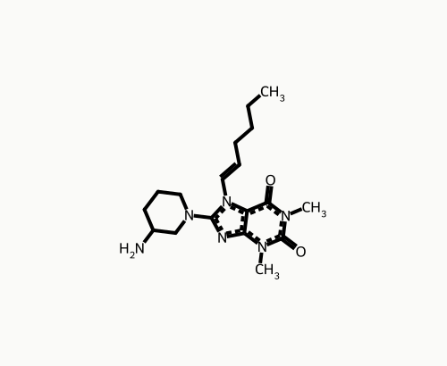 CCCCC=Cn1c(N2CCCC(N)C2)nc2c1c(=O)n(C)c(=O)n2C